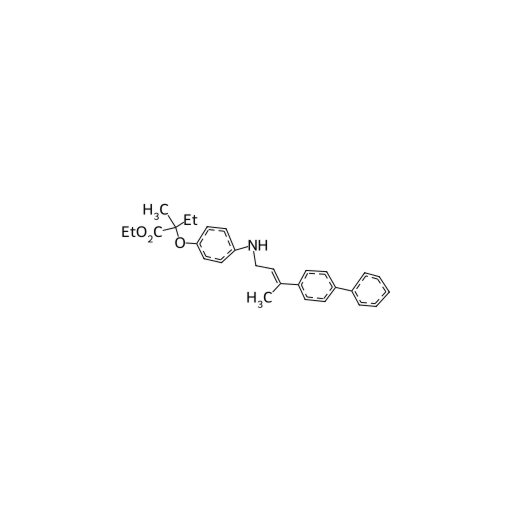 CCOC(=O)C(C)(CC)Oc1ccc(NC/C=C(\C)c2ccc(-c3ccccc3)cc2)cc1